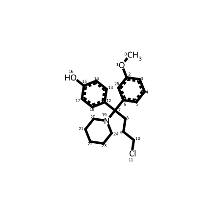 COc1cccc(C(CCCCl)(c2ccc(O)cc2)N2CCCCC2)c1